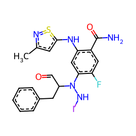 Cc1cc(Nc2cc(N(NI)C(C=O)Cc3ccccc3)c(F)cc2C(N)=O)sn1